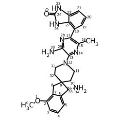 COc1cccc2c1CC1(CCN(c3nc(C)c(-c4cccc5[nH]c(=O)[nH]c45)nc3N)CC1)[C@@H]2N